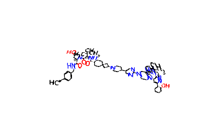 C#Cc1ccc(CNC(=O)[C@@H]2C[C@@H](O)CN2C(=O)[C@@H](NC(=O)[C@H]2CCC3(CC2)C[C@H](N2CCC(c4cnc(N5CCN(c6cc(-c7ccccc7O)nnc6NC)[C@@H](C)C5)nc4)CC2)C3)C(C)(C)C)cc1